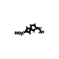 CCOC(=O)N1CC2(CCN(SS)C2)C1